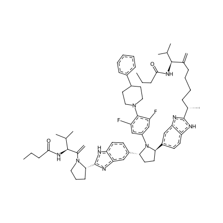 C=C(CCCC[C@H](C)c1nc2cc([C@H]3CC[C@H](c4ccc5[nH]c([C@@H]6CCCN6C(=C)[C@@H](NC(=O)CCC)C(C)C)nc5c4)N3c3cc(F)c(N4CCC(c5ccccc5)CC4)c(F)c3)ccc2[nH]1)[C@@H](NC(=O)CCC)C(C)C